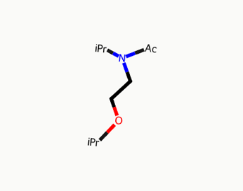 CC(=O)N(CCOC(C)C)C(C)C